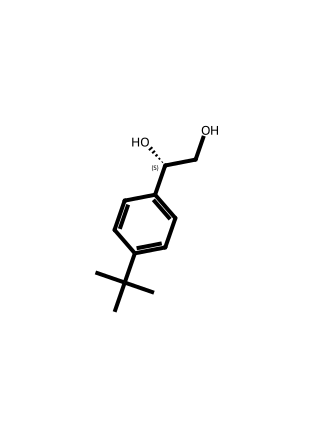 CC(C)(C)c1ccc([C@H](O)CO)cc1